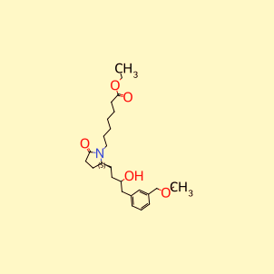 CCOC(=O)CCCCCCN1C(=O)CC[C@@H]1CCC(O)Cc1cccc(COC)c1